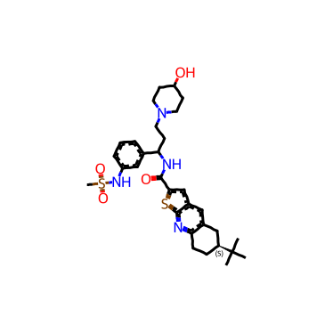 CC(C)(C)[C@H]1CCc2nc3sc(C(=O)NC(CCN4CCC(O)CC4)c4cccc(NS(C)(=O)=O)c4)cc3cc2C1